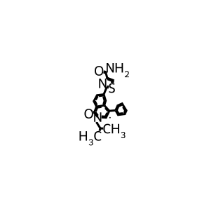 CC(C)Cn1[c]c(-c2ccccc2)c2cc(-c3nc(C(N)=O)cs3)ccc2c1=O